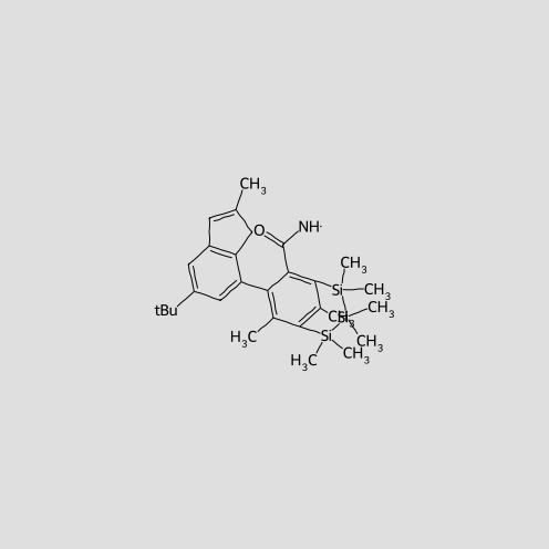 CC1=Cc2cc(C(C)(C)C)cc(-c3c(C)c4c(C)c(c3C([NH])=O)[Si](C)(C)[Si](C)(C)[Si]4(C)C)c2C1